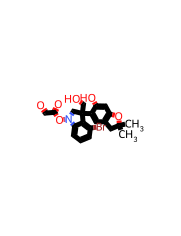 CC1(C)Cc2cc(C3(CO)CN(OC(=O)C=O)c4cccc(Br)c43)c(O)cc2O1